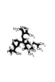 Cc1n[nH]c(C)c1Cc1sc2c(c1-c1cncc(C(O)C(F)(F)F)c1)C(=O)N(C)C(O)N2CC(C)C